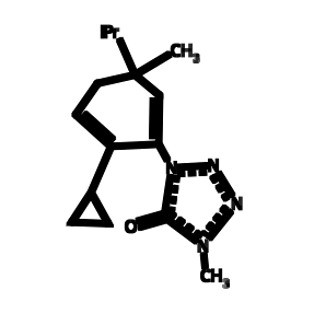 CC(C)C1(C)C=C(n2nnn(C)c2=O)C(C2CC2)=CC1